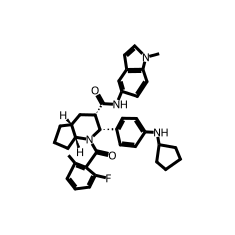 Cc1cccc(F)c1C(=O)N1[C@@H]2CCC[C@@H]2C[C@H](C(=O)Nc2ccc3c(ccn3C)c2)[C@@H]1c1ccc(NC2CCCC2)cc1